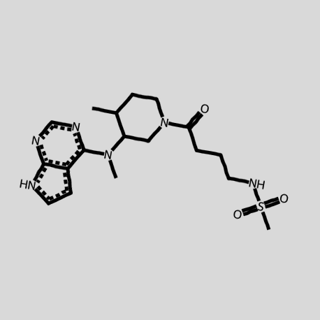 CC1CCN(C(=O)CCCNS(C)(=O)=O)CC1N(C)c1ncnc2[nH]ccc12